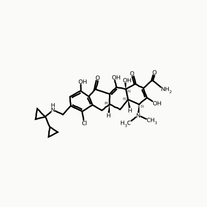 CN(C)[C@@H]1C(O)=C(C(N)=O)C(=O)[C@@]2(O)C(O)=C3C(=O)c4c(O)cc(CNC5(C6CC6)CC5)c(Cl)c4C[C@H]3C[C@@H]12